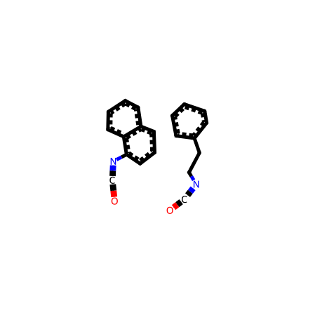 O=C=NCCc1ccccc1.O=C=Nc1cccc2ccccc12